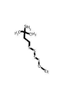 CCOSSSSCCC(C)(C)[SiH3]